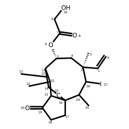 C=C[C@]1(C)C[C@@H](OC(=O)CO)C2C(C)CCC3(CCC(=O)C3C2C)C(C)C1I